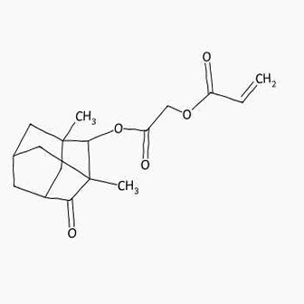 C=CC(=O)OCC(=O)OC1C2(C)CC3CC(C2)C(=O)C1(C)C3